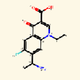 CCn1cc(C(=O)O)c(=O)c2cc(F)c(C(C)N)cc21